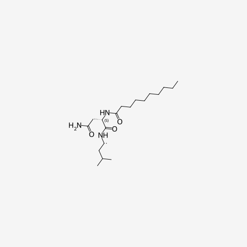 CCCCCCCCCC(=O)N[C@@H](CC(N)=O)C(=O)N[CH]CC(C)C